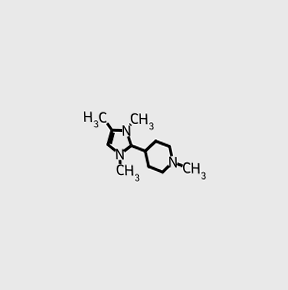 CC1=CN(C)C(C2CCN(C)CC2)N1C